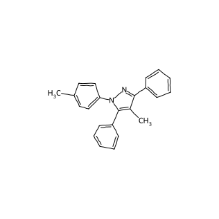 Cc1ccc(-n2nc(-c3ccccc3)c(C)c2-c2ccccc2)cc1